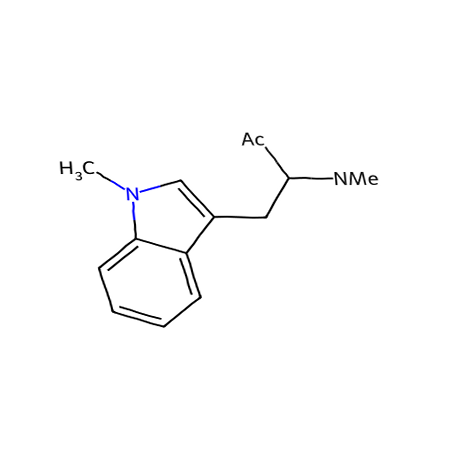 CNC(Cc1cn(C)c2ccccc12)C(C)=O